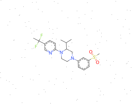 CC(C)C1CN(c2cccc(S(C)(=O)=O)c2)CCN1c1ccc(C(C)(F)F)cn1